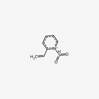 C=Cc1cccc[n+]1[SH](=O)=O